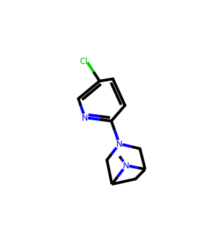 CN1C2CC1CN(c1ccc(Cl)cn1)C2